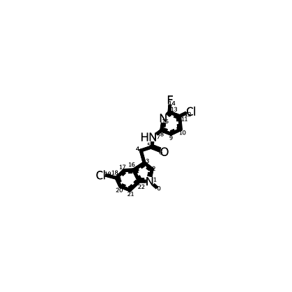 Cn1cc(CC(=O)Nc2ccc(Cl)c(F)n2)c2cc(Cl)ccc21